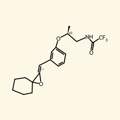 C[C@@H](CNC(=O)C(F)(F)F)Oc1cccc(/C=C2\OC23CCCCC3)c1